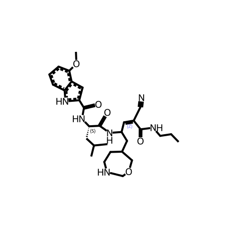 CCCNC(=O)/C(C#N)=C\C(CC1CCNCOC1)NC(=O)[C@H](CC(C)C)NC(=O)c1cc2c(OC)cccc2[nH]1